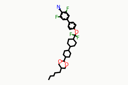 CCCCCC1COC(C2CCC(C3CCC(C(F)(F)Oc4ccc(-c5cc(F)c(C#N)c(F)c5)cc4)CC3)CC2)OC1